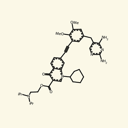 COc1cc(Cc2cnc(N)nc2N)cc(C#Cc2ccc3c(=O)c(C(=O)OCCN(C(C)C)C(C)C)cn(C4CCCCC4)c3c2)c1OC